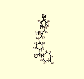 CN1CCCN(C(=O)C2CCC(CCNCc3ncc(Br)cn3)CC2)CC1